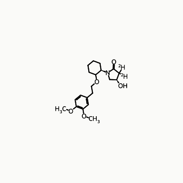 [2H]C1([2H])C(=O)N([C@@H]2CCCCC2OCCc2ccc(OC)c(OC)c2)C[C@@H]1O